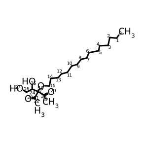 CCCCCCCCCCCCCCCCOC(C(C)=O)(C(C)=O)C(O)CO